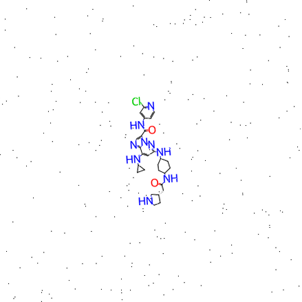 O=C(C[C@@H]1CCNC1)NC1CCC(Nc2cc(NC3CC3)c3ncc(C(=O)Nc4ccnc(Cl)c4)n3n2)CC1